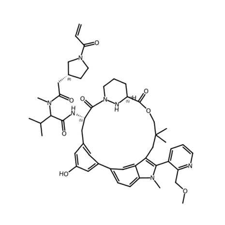 C=CC(=O)N1CC[C@H](CC(=O)N(C)C(C(=O)N[C@H]2Cc3cc(O)cc(c3)-c3ccc4c(c3)c(c(-c3cccnc3COC)n4C)CC(C)(C)COC(=O)[C@@H]3CCCN(N3)C2=O)C(C)C)C1